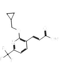 O=C(O)C=Cc1ccc(C(F)(F)F)nc1OCC1CC1